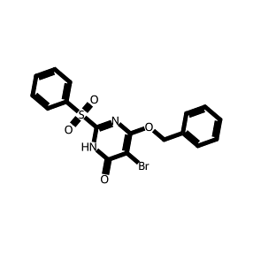 O=c1[nH]c(S(=O)(=O)c2ccccc2)nc(OCc2ccccc2)c1Br